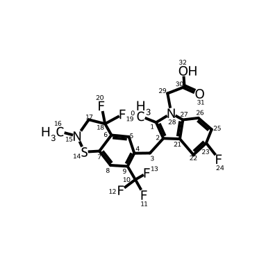 Cc1c(Cc2cc3c(cc2C(F)(F)F)SN(C)CC3(F)F)c2cc(F)ccc2n1CC(=O)O